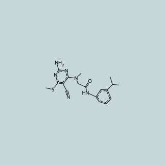 CSc1nc(N)nc(N(C)CC(=O)Nc2cccc(C(C)C)c2)c1C#N